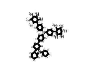 [2H]c1c([2H])c([2H])c(-c2ccc(N(c3ccc(-c4ccc5c6ccccc6n(-c6ccccc6)c5c4)cc3)c3ccc(-c4c([2H])c([2H])c([2H])c([2H])c4[2H])cc3)cc2)c([2H])c1[2H]